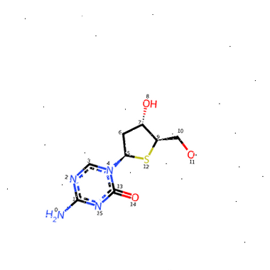 Nc1ncn([C@H]2C[C@H](O)[C@@H](C[O])S2)c(=O)n1